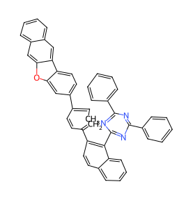 C=C(/C=C\C(=C/C)c1ccc2c(c1)oc1cc3ccccc3cc12)c1ccc2ccccc2c1-c1nc(-c2ccccc2)nc(-c2ccccc2)n1